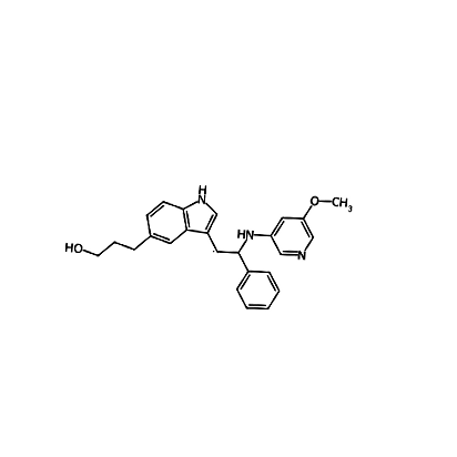 COc1cncc(NC([CH]c2c[nH]c3ccc(CCCO)cc23)c2ccccc2)c1